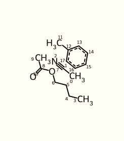 CC#N.CCCCOC(C)=O.Cc1ccccc1